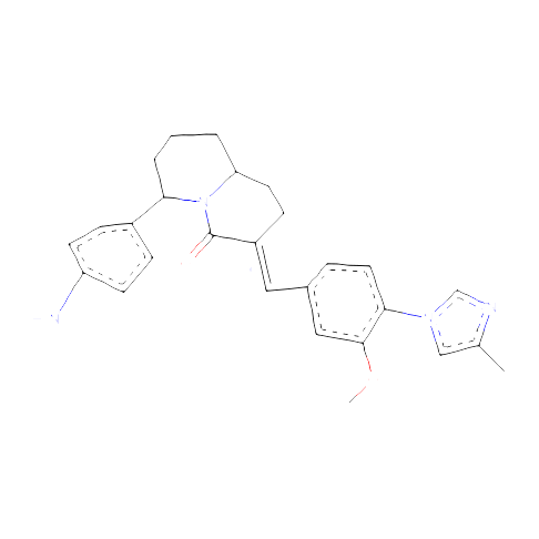 COc1cc(/C=C2\CCC3CCCC(c4ccc(N)cc4)N3C2=O)ccc1-n1cnc(C)c1